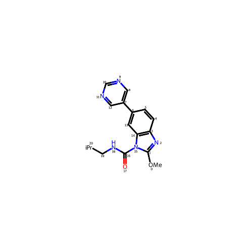 COc1nc2ccc(-c3cncnc3)cc2n1C(=O)NCC(C)C